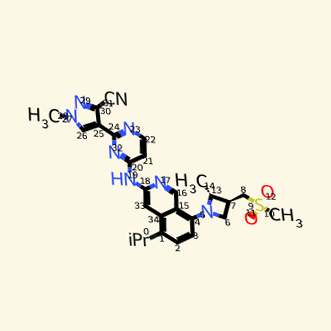 CC(C)c1ccc(N2C[C@H](CS(C)(=O)=O)[C@H]2C)c2cnc(Nc3ccnc(-c4cn(C)nc4C#N)n3)cc12